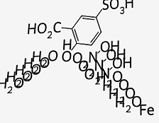 O.O.O.O.O.O.O.O.O.O=C(O)c1cc(S(=O)(=O)O)ccc1O.O=[N+]([O-])O.O=[N+]([O-])O.O=[N+]([O-])O.[Fe]